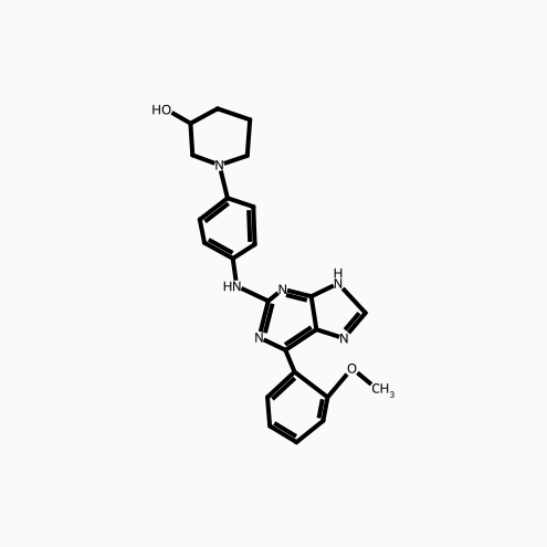 COc1ccccc1-c1nc(Nc2ccc(N3CCCC(O)C3)cc2)nc2[nH]cnc12